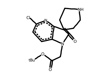 CC(C)(C)OC(=O)CN1C(=O)C2(CCNCC2)c2nc(Cl)ccc21